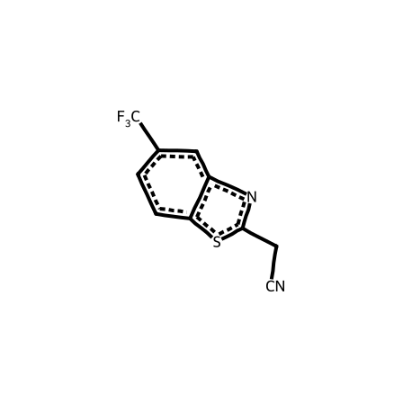 N#CCc1nc2cc(C(F)(F)F)ccc2s1